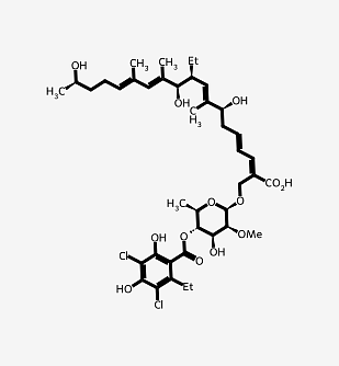 CCc1c(Cl)c(O)c(Cl)c(O)c1C(=O)O[C@H]1[C@H](O)[C@H](OC)[C@H](OC/C(=C\C=C\C[C@H](O)/C(C)=C/[C@H](CC)[C@@H](O)/C(C)=C/C(C)=C/CC[C@@H](C)O)C(=O)O)O[C@@H]1C